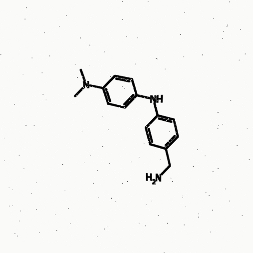 CN(C)c1ccc(Nc2ccc(CN)cc2)cc1